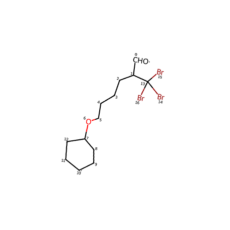 O=[C]C(CCCCOC1CC[CH]CC1)C(Br)(Br)Br